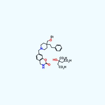 CCOCC1(CCc2ccccc2)CCN(Cc2ccc3c(c2)OC(=O)NC3)CC1.O=C(O)CC(O)(CC(=O)O)C(=O)O